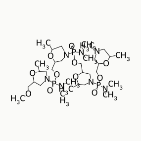 COCC1CN(P(=O)(OCC2CN(P(=O)(OCC3CN(P(=O)(OCC4CN(C)CC(C)O4)N(C)C)CC(C)O3)N(C)C)CC(C)O2)N(C)C)CC(C)O1